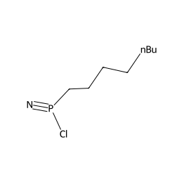 CCCCCCCCP(#N)Cl